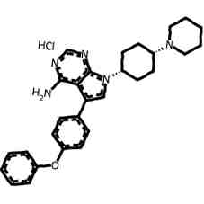 Cl.Nc1ncnc2c1c(-c1ccc(Oc3ccccc3)cc1)cn2[C@H]1CC[C@@H](N2CCCCC2)CC1